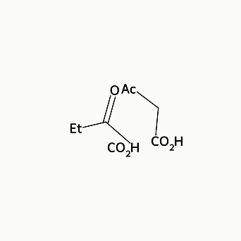 CC(=O)CC(=O)O.CCC(=O)C(=O)O